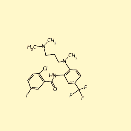 CN(C)CCCN(C)c1ccc(C(F)(F)F)cc1NC(=O)c1cc(I)ccc1Cl